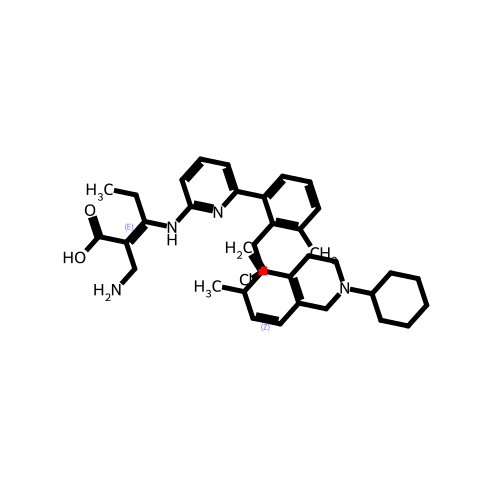 C=C(Cl)C1=C(/C=C\C(C)CCc2c(C)cccc2-c2cccc(N/C(CC)=C(\CN)C(=O)O)n2)CN(C2CCCCC2)CC1